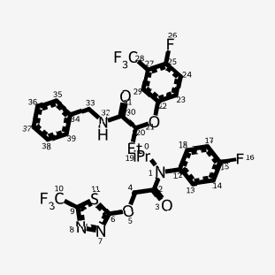 CC(C)N(C(=O)COc1nnc(C(F)(F)F)s1)c1ccc(F)cc1.CCC(Oc1ccc(F)c(C(F)(F)F)c1)C(=O)NCc1ccccc1